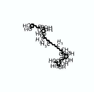 CC(/C=C/C=C(\C)C(=O)OC1OC(COC2OC(CO)C(O)C(O)C2O)[C@@H](O)C[C@@H]1O)=C\C=C\C=C(C)\C=C\C=C(/C)C(=O)O[C@H]1C[C@](O)(C(=O)O)C[C@@H](OC(=O)/C=C/c2ccc(O)c(O)c2)[C@H]1O